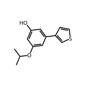 CC(C)Oc1cc(O)cc(-c2ccsc2)c1